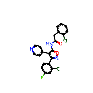 O=C(Cc1ccccc1Cl)Nc1onc(-c2ccc(F)cc2Cl)c1-c1ccncc1